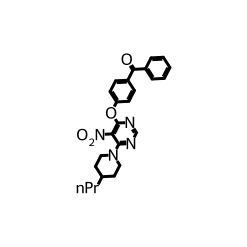 CCCC1CCN(c2ncnc(Oc3ccc(C(=O)c4ccccc4)cc3)c2[N+](=O)[O-])CC1